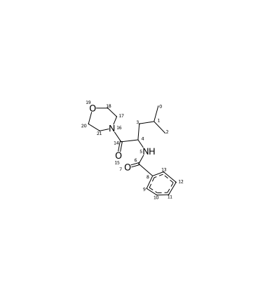 CC(C)CC(NC(=O)c1ccccc1)C(=O)N1CCOCC1